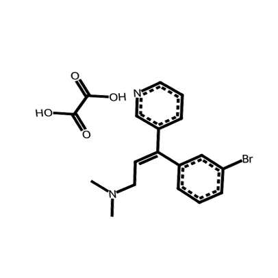 CN(C)CC=C(c1cccnc1)c1cccc(Br)c1.O=C(O)C(=O)O